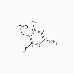 O=CCc1c(F)cc(C(F)(F)F)cc1F